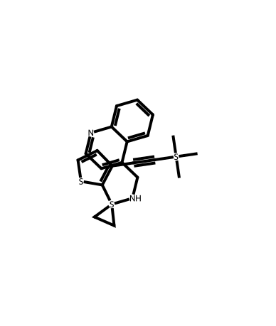 CS(C)(C)C#Cc1ccsc1S1(NCc2ccnc3ccccc23)CC1